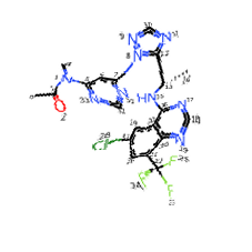 CC(=O)N(C)c1cc(-n2ncnc2[C@H](C)Nc2ncnc3c(C(F)(F)F)cc(Cl)cc23)ncn1